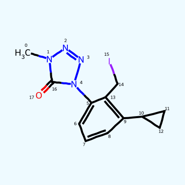 Cn1nnn(-c2cccc(C3CC3)c2CI)c1=O